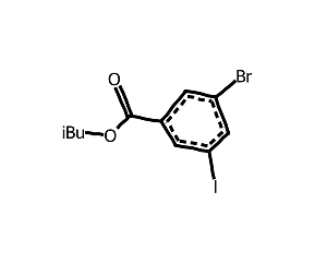 CCC(C)OC(=O)c1cc(Br)cc(I)c1